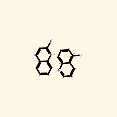 Brc1ccc2ccccc2n1.Brc1cccc2ncccc12